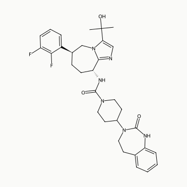 CC(C)(O)c1cnc2n1C[C@H](c1cccc(F)c1F)CC[C@H]2NC(=O)N1CCC(N2CCc3ccccc3NC2=O)CC1